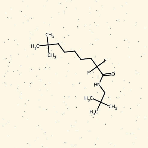 CC(C)(C)CCCCCC(F)(F)C(=O)NCC(C)(C)C